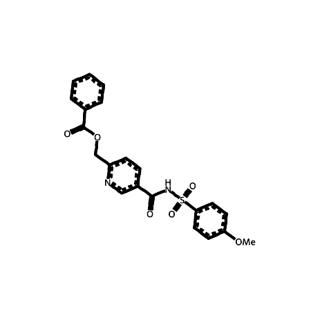 COc1ccc(S(=O)(=O)NC(=O)c2ccc(COC(=O)c3ccccc3)nc2)cc1